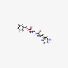 O=C(CCNC(=O)OCc1ccccc1)NC[C@H]1CCCNC1